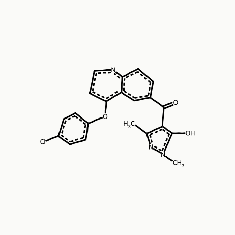 Cc1nn(C)c(O)c1C(=O)c1ccc2nccc(Oc3ccc(Cl)cc3)c2c1